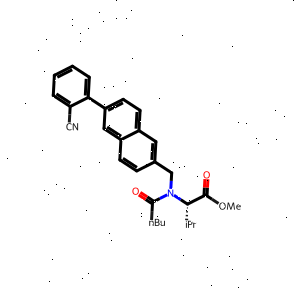 CCCCC(=O)N(Cc1ccc2cc(-c3ccccc3C#N)ccc2c1)[C@H](C(=O)OC)C(C)C